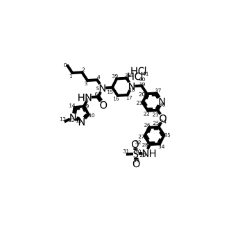 CCCCCN(C(=O)Nc1cnn(C)c1)C1CCN(Cc2ccc(Oc3ccc(NS(C)(=O)=O)cc3)nc2)CC1.Cl.Cl